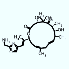 C/C1=C/C[C@@H](/C(C)=C/c2coc(CN)n2)OC(=O)C[C@H](O)C(C)(C)C(=O)[C@H](C)[C@@H](O)[C@@H](C)/C=C/C1